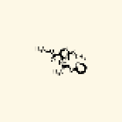 CCOC(=O)c1cnc(SC)nc1NC(C)COC1CCCCO1